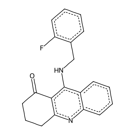 O=C1CCCc2nc3ccccc3c(NCc3ccccc3F)c21